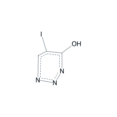 Oc1nnncc1I